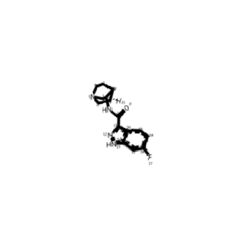 O=C(N[C@H]1CN2CCC1CC2)c1n[nH]c2cc(F)ccc12